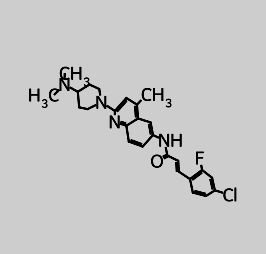 Cc1cc(N2CCC(N(C)C)CC2)nc2ccc(NC(=O)C=Cc3ccc(Cl)cc3F)cc12